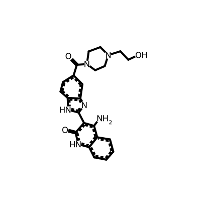 Nc1c(-c2nc3cc(C(=O)N4CCN(CCO)CC4)ccc3[nH]2)c(=O)[nH]c2ccccc12